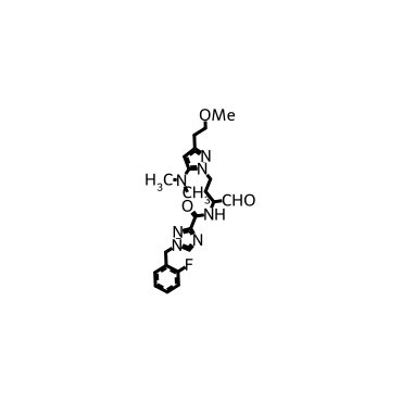 COCCc1cc(N(C)C)n(CCC(C=O)NC(=O)c2ncn(Cc3ccccc3F)n2)n1